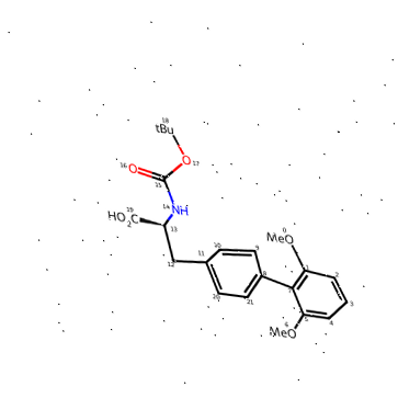 COc1cccc(OC)c1-c1ccc(C[C@H](NC(=O)OC(C)(C)C)C(=O)O)cc1